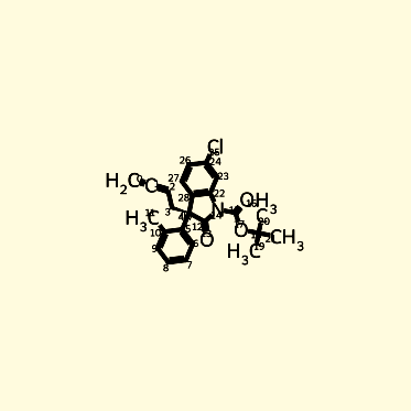 C=C=CC[C@]1(c2ccccc2C)C(=O)N(C(=O)OC(C)(C)C)c2cc(Cl)ccc21